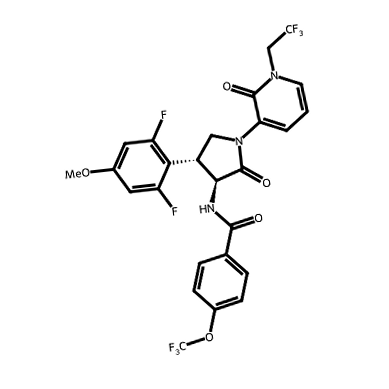 COc1cc(F)c([C@@H]2CN(c3cccn(CC(F)(F)F)c3=O)C(=O)[C@H]2NC(=O)c2ccc(OC(F)(F)F)cc2)c(F)c1